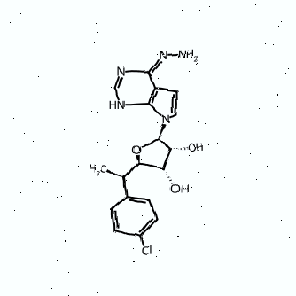 C[C@H](c1ccc(Cl)cc1)[C@H]1O[C@@H](n2ccc3/c(=N\N)nc[nH]c32)[C@H](O)[C@@H]1O